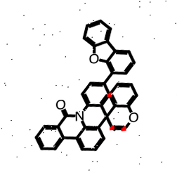 O=c1c2ccccc2c2cccc3c2n1-c1ccc(-c2cccc4c2oc2ccccc24)cc1C31c2ccccc2Oc2ccccc21